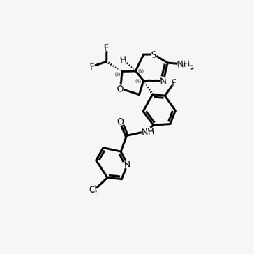 NC1=N[C@@]2(c3cc(NC(=O)c4ccc(Cl)cn4)ccc3F)CO[C@H](C(F)F)[C@H]2CS1